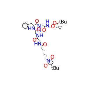 CC(C)(C)C(=O)C1(COCNC(=O)CNC(=O)[C@H](Cc2ccccc2)NC(=O)CNC(=O)CNC(=O)CCCCCN2C(=O)CC(C(C)(C)C)C2=O)CC1